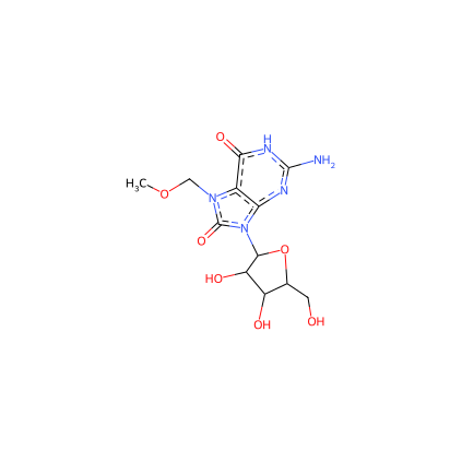 COCn1c(=O)n(C2OC(CO)C(O)C2O)c2nc(N)[nH]c(=O)c21